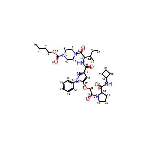 CCCCOC(=O)N1CCN(C(=O)C(NC(=O)c2cc(OCC(=O)N3CCCC3C(=O)NC3CCC3)n(-c3ccccc3)n2)C(C)CC)CC1